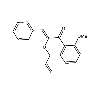 C=CCOC(=Cc1ccccc1)C(=O)c1ccccc1OC